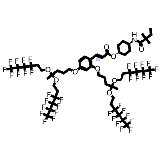 CCC(C)(C)C(=O)N[C@H]1CC[C@H](OC(=O)/C=C/c2ccc(OCCCC(C)(OCCC(F)(F)C(F)(F)C(F)(F)C(F)(F)F)OCCC(F)(F)C(F)(F)C(F)(F)C(F)(F)F)cc2OCCCC(C)(OCCC(F)(F)C(F)(F)C(F)(F)C(F)(F)F)OCCC(F)(F)C(F)(F)C(F)(F)C(F)(F)F)CC1